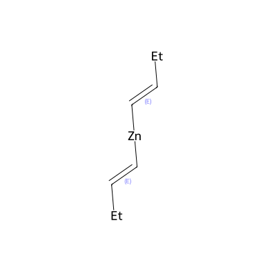 CC/C=[CH]/[Zn]/[CH]=C/CC